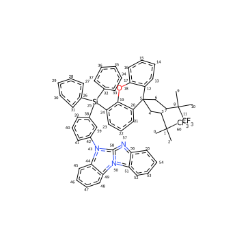 CC(C)(CCC1(CCC(C)(C)C(F)(F)F)c2ccccc2Oc2c1cccc2[Si](c1ccccc1)(c1ccccc1)c1cccc(-n2c3ccccc3n3c4ccccc4nc23)c1)C(F)(F)F